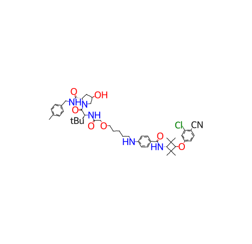 Cc1ccc(CNC(=O)[C@@H]2C[C@@H](O)CN2C(=O)[C@@H](NC(=O)COCCCCCNc2ccc(C(=O)N[C@H]3C(C)(C)[C@H](Oc4ccc(C#N)c(Cl)c4)C3(C)C)cc2)C(C)(C)C)cc1